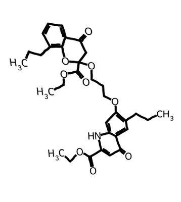 CCCc1cc2c(=O)cc(C(=O)OCC)[nH]c2cc1OCCCOC1(C(=O)OCC)CC(=O)c2cccc(CCC)c2O1